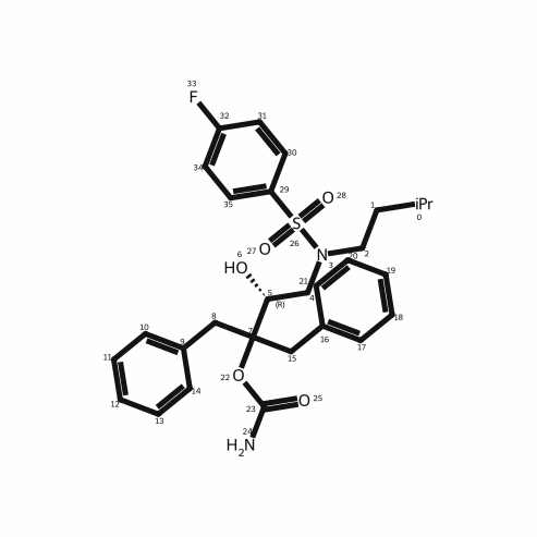 CC(C)CCN(C[C@@H](O)C(Cc1ccccc1)(Cc1ccccc1)OC(N)=O)S(=O)(=O)c1ccc(F)cc1